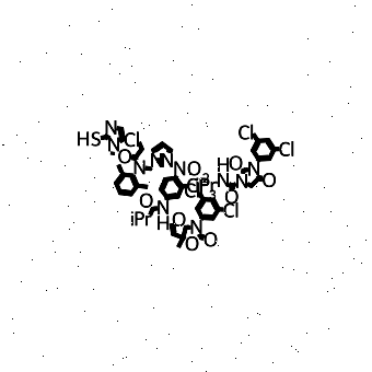 C=CC1(C)OC(=O)N(c2cc(Cl)cc(Cl)c2)C1=O.CC(C)C(=O)Nc1ccc([N+](=O)[O-])c(C(F)(F)F)c1.CC(C)NC(=O)N1CC(=O)N(c2cc(Cl)cc(Cl)c2)C1=O.Cc1cccc(C)c1N(Cn1cccn1)C(=O)CCl.Cn1ccnc1S